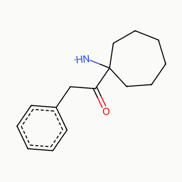 [NH]C1(C(=O)Cc2ccccc2)CCCCCC1